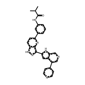 CC(C)C(=O)Nc1cccc(-c2ccc3[nH]nc(-c4cc5c(-c6ccncc6)cncc5[nH]4)c3n2)c1